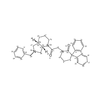 O=C(CN1CCCC(c2ccccc2)(c2ccccc2)C1=O)N1CCC[C@H]2CN(Cc3ccccc3)C[C@H]21